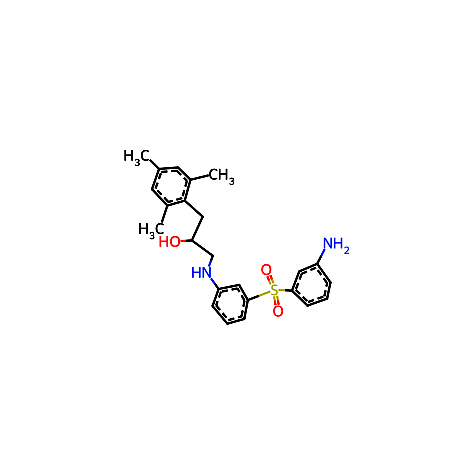 Cc1cc(C)c(CC(O)CNc2cccc(S(=O)(=O)c3cccc(N)c3)c2)c(C)c1